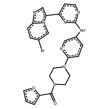 O=C(c1ccco1)N1CCN(c2ccc(Nc3nccc(-c4cnc5ccc(Br)cn45)n3)cn2)CC1